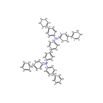 C1=CC(C2=CC=C(N(c3ccc(C4=CCCCC4)cc3)c3ccc(-c4ccc(N(c5ccc(-c6ccccc6)cc5)c5ccc(-c6ccccc6)cc5)cc4)cc3)CC2)=CCC1